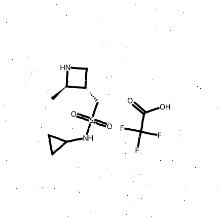 C[C@H]1NC[C@@H]1CS(=O)(=O)NC1CC1.O=C(O)C(F)(F)F